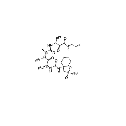 C=CCNC(=O)C(=O)C(CCC)NC(=O)[C@H](C)N(CCC)C(=O)[C@@H](NC(=O)NC1(CS(=O)(=O)C(C)(C)C)CCCCC1)C(C)(C)C